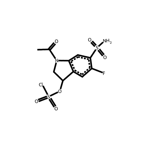 CC(=O)N1CC(OS(=O)(=O)Cl)c2cc(F)c(S(N)(=O)=O)cc21